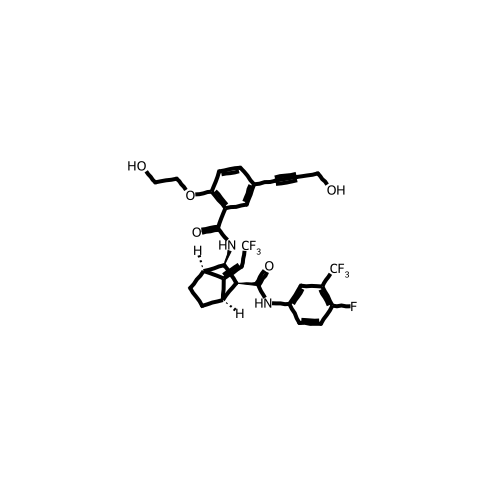 O=C(N[C@H]1[C@@H](C(=O)Nc2ccc(F)c(C(F)(F)F)c2)[C@H]2CC[C@@H]1/C2=C\C(F)(F)F)c1cc(C#CCO)ccc1OCCO